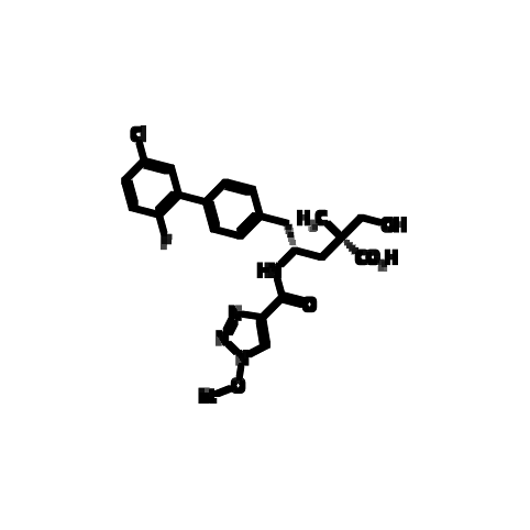 CCOn1cc(C(=O)N[C@H](Cc2ccc(-c3cc(Cl)ccc3F)cc2)C[C@@](C)(CO)C(=O)O)nn1